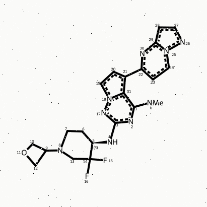 CNc1nc(N[C@@H]2CCN(C3COC3)CC2(F)F)nn2ccc(-c3ccn4nccc4n3)c12